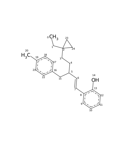 CCC1(CCC(/C=C/c2ccccc2O)Cc2ccc(C)cc2)CC1